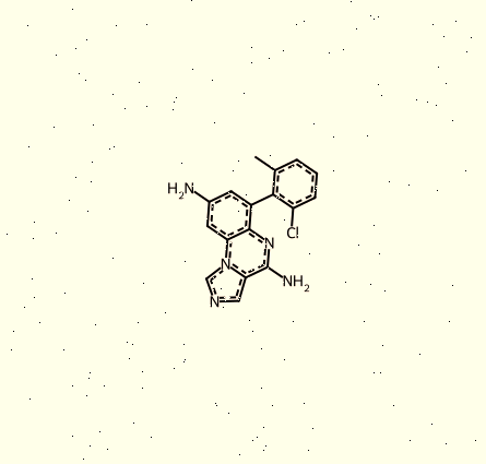 Cc1cccc(Cl)c1-c1cc(N)cc2c1nc(N)c1cncn12